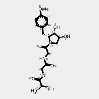 COc1ccc(C[C@@H]2[C@H](O)[C@@H](O)CN2C(=O)CNC(=O)CNC(=O)[C@H](C)N)cc1